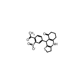 CC(=O)c1ccc(C2C3=C(CCS3)NC3=C2C(=O)CCC3)cc1[N+](=O)[O-]